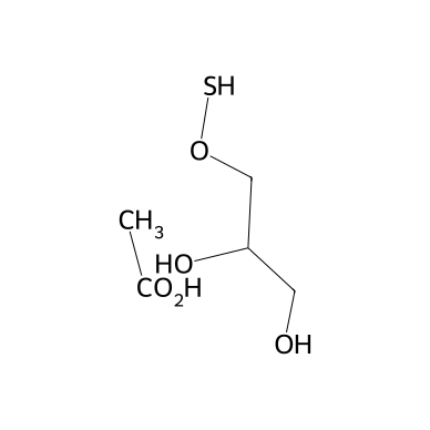 CC(=O)O.OCC(O)COS